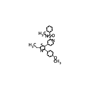 CCc1nc(-c2ccc(OC)cc2)c(-c2ccnc(S(=O)(=NC)c3ccccc3)c2)s1